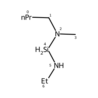 CCCCN(C)[SiH2]NCC